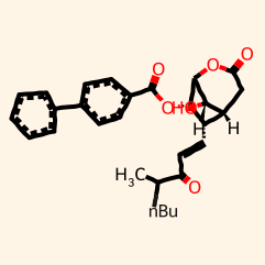 CCCCC(C)C(=O)C=C[C@H]1[C@H]2CC(=O)OC([C@H]2O)[C@H]1OC(=O)c1ccc(-c2ccccc2)cc1